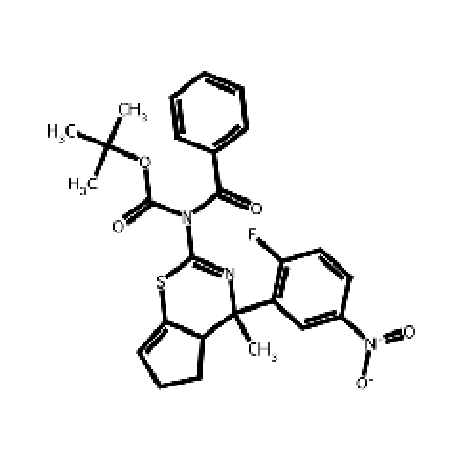 CC(C)(C)OC(=O)N(C(=O)c1ccccc1)C1=NC(C)(c2cc([N+](=O)[O-])ccc2F)C2CCC=C2S1